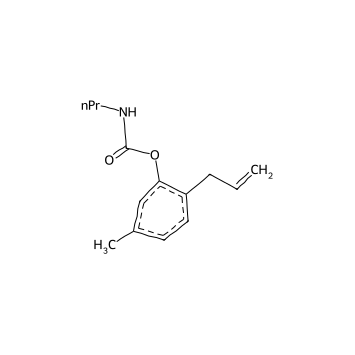 C=CCc1ccc(C)cc1OC(=O)NCCC